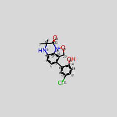 CC1(C)Nc2ccc(-c3cc(Cl)ccc3O)c3c2N(OC3)C1=O